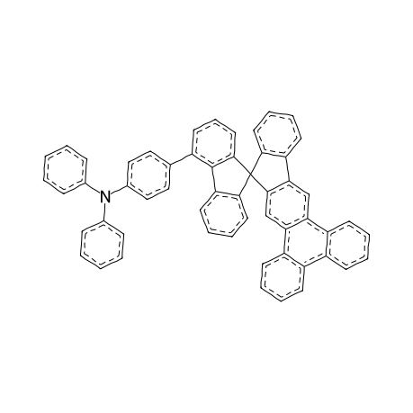 c1ccc(N(c2ccccc2)c2ccc(-c3cccc4c3-c3ccccc3C43c4ccccc4-c4cc5c6ccccc6c6ccccc6c5cc43)cc2)cc1